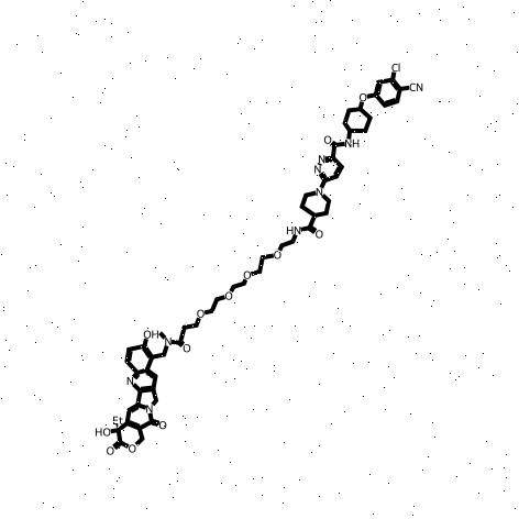 CC[C@@]1(O)C(=O)OCc2c1cc1n(c2=O)Cc2cc3c(CN(C)C(=O)CCOCCOCCOCCOCCNC(=O)C4CCN(c5ccc(C(=O)NC6CCC(Oc7ccc(C#N)c(Cl)c7)CC6)nn5)CC4)c(O)ccc3nc2-1